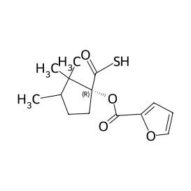 CC1CC[C@](OC(=O)c2ccco2)(C(=O)S)C1(C)C